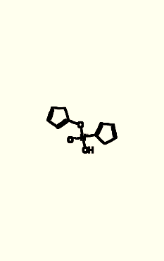 [O-][N+](O)(OC1=CC=CC1)C1=CC=CC1